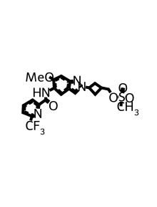 COc1cc2nn(C3CC(COS(C)(=O)=O)C3)cc2cc1NC(=O)c1cccc(C(F)(F)F)n1